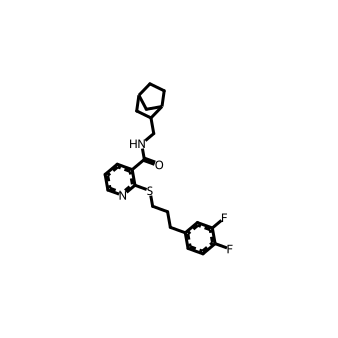 O=C(NCC1CC2CCC1C2)c1cccnc1SCCCc1ccc(F)c(F)c1